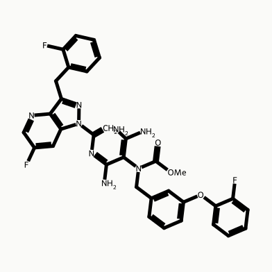 C=C(/N=C(/N)C(=C(N)N)N(Cc1cccc(Oc2ccccc2F)c1)C(=O)OC)n1nc(Cc2ccccc2F)c2ncc(F)cc21